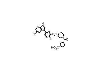 O=C(O)[C@H]1CC[C@@H](C(=O)N2CCC[C@H](CNc3nc(-c4c[nH]c5ncc(Cl)cc45)ncc3F)C2)C1